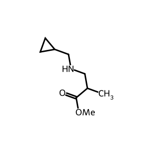 COC(=O)C(C)CNCC1CC1